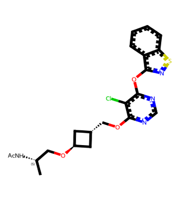 CC(=O)N[C@@H](C)CO[C@H]1C[C@H](COc2ncnc(Oc3nsc4ccccc34)c2Cl)C1